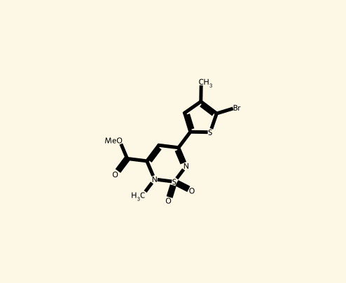 COC(=O)C1=CC(c2cc(C)c(Br)s2)=NS(=O)(=O)N1C